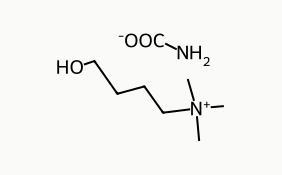 C[N+](C)(C)CCCCO.NC(=O)[O-]